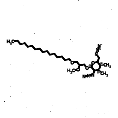 CCCCCCCCCCCCCCCCOCC(CO[C@@H]1OC(CN=[N+]=[N-])[C@H](C)[C@H](C)C1N=[N+]=[N-])OC